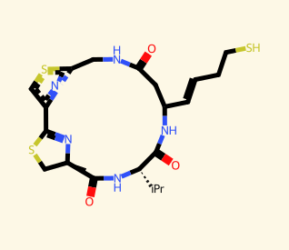 CC(C)[C@@H]1NC(=O)[C@]2(C)CSC(=N2)c2csc(n2)CNC(=O)CC(/C=C/CCS)NC1=O